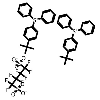 CC(C)(C)c1ccc([S+](c2ccccc2)c2ccccc2)cc1.CC(C)(C)c1ccc([S+](c2ccccc2)c2ccccc2)cc1.O=S(=O)([O-])C(F)(F)C(F)(F)C(F)(F)C(F)(F)S(=O)(=O)[O-]